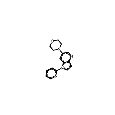 c1ccc(-n2ccc3ncc(N4CCOCC4)cc32)nc1